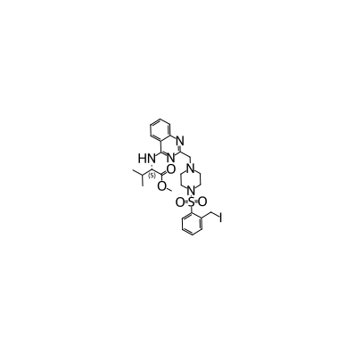 COC(=O)[C@@H](Nc1nc(CN2CCN(S(=O)(=O)c3ccccc3CI)CC2)nc2ccccc12)C(C)C